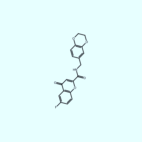 O=C(NCc1ccc2c(c1)OCCO2)c1cc(=O)c2cc(F)ccc2o1